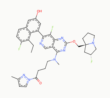 CCc1c(F)ccc2cc(O)cc(-c3ncc4c(N(C)CCCC(=O)n5ccc(C)n5)nc(OC[C@@]56CCCN5C[C@H](F)C6)nc4c3F)c12